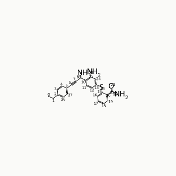 CCc1ccc(C#CC(=N)c2ccc(Sc3ccccc3C(N)=O)cc2N)cc1